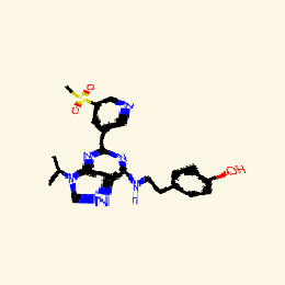 CC(C)n1cnc2c(NCCc3ccc(O)cc3)nc(-c3cncc(S(C)(=O)=O)c3)nc21